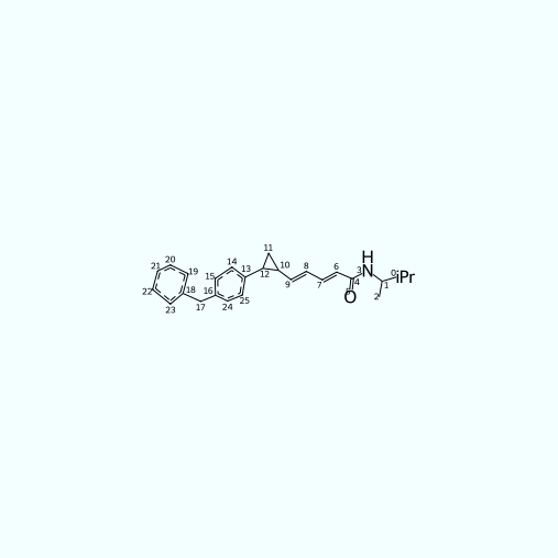 CC(C)C(C)NC(=O)/C=C/C=C/C1CC1c1ccc(Cc2ccccc2)cc1